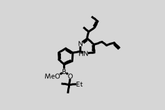 C=CCCC1=CNC(c2cccc(B(OC)OC(C)(C)CC)c2)N=C1C(C)/C=C\C